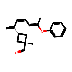 C=C(/C=C\C=C(/C)Oc1ccccc1)[C@H]1C[C@@](C)(C=O)C1